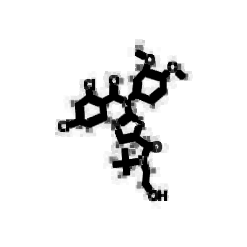 COc1ccc(N(C(=O)c2ccc(Cl)cc2Cl)c2ncc(C(=O)N(CCO)C(C)(C)C)s2)cc1OC